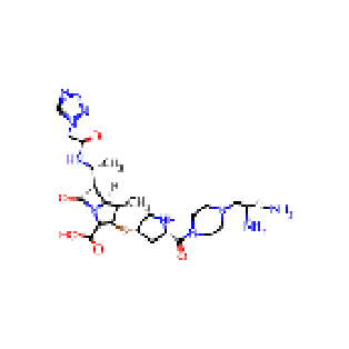 C[C@@H](NC(=O)Cn1cnnn1)[C@H]1C(=O)N2C(C(=O)O)=C(S[C@@H]3CN[C@H](C(=O)N4CCN(CC(N)CN)CC4)C3)[C@H](C)[C@H]12